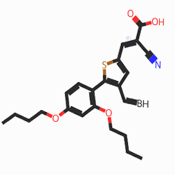 B=Cc1cc(/C=C(\C#N)C(=O)O)sc1-c1ccc(OCCCC)cc1OCCCC